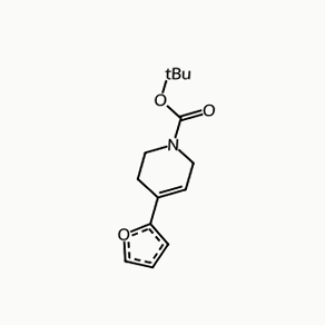 CC(C)(C)OC(=O)N1CC=C(c2ccco2)CC1